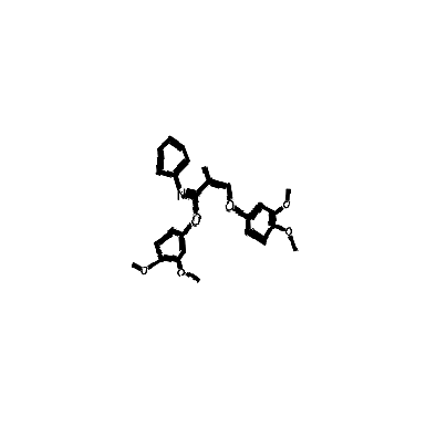 COc1ccc(OC=C(C)/C(=N\c2ccccc2)Oc2ccc(OC)c(OC)c2)cc1OC